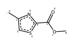 [CH2]c1csc(C(=O)OC)n1